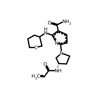 C=CC(=O)N[C@H]1CCN(c2ccc(C(N)=O)c(NC3CCCCC3)n2)C1